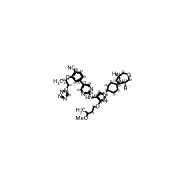 COC(C)CCOc1nn(C2CCC(N3[C@@H]4CC[C@H]3COC4)CC2)cc1Nc1ncc(-c2ccc(C#N)c(O[C@@H](C)Cn3cnnn3)c2)cn1